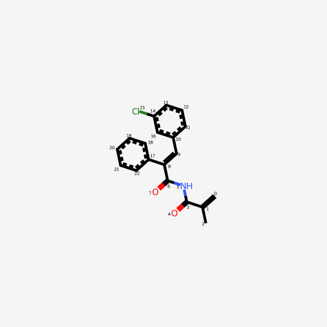 C=C(C)C(=O)NC(=O)/C(=C/c1cccc(Cl)c1)c1ccccc1